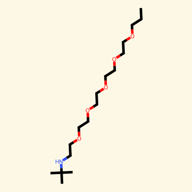 CCCOCCOCCOCCOCCOCCNC(C)(C)C